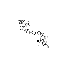 COC(=O)N[C@H](C(=O)N1CCC[C@H]1c1nc2ccc(-c3ccc(-c4ccc5nc([C@@H]6CCCN6C(=O)[C@@H](NC(=O)OC)C(C)(C)C)[nH]c5c4)cc3)cc2[nH]1)C(C)(C)C